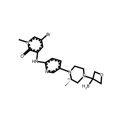 BC1(N2CCN(c3ccc(Nc4cc(Br)cn(C)c4=O)nc3)[C@@H](C)C2)COC1